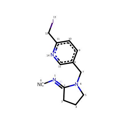 N#C/N=C1\CCCN1Cc1ccc(CI)nc1